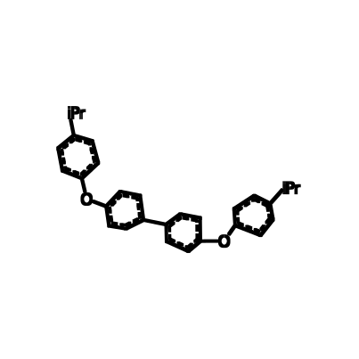 CC(C)c1ccc(Oc2ccc(-c3ccc(Oc4ccc(C(C)C)cc4)cc3)cc2)cc1